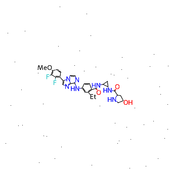 CCc1cc(Nc2nccn3c(-c4ccc(OC)c(F)c4F)cnc23)ccc1C(=O)NC1CC1NC(=O)C1CC(O)CN1